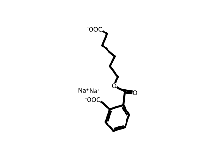 O=C([O-])CCCCCOC(=O)c1ccccc1C(=O)[O-].[Na+].[Na+]